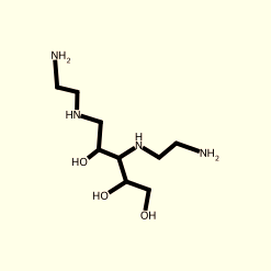 NCCNCC(O)C(NCCN)C(O)CO